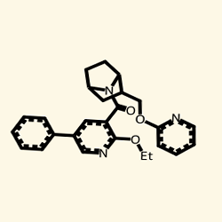 CCOc1ncc(-c2ccccc2)cc1C(=O)N1C2CCC1C(COc1ccccn1)C2